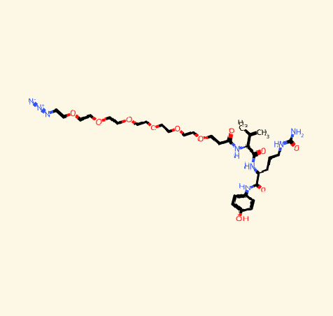 CC(C)[C@H](NC(=O)CCOCCOCCOCCOCCOCCOCCN=[N+]=[N-])C(=O)N[C@@H](CCCNC(N)=O)C(=O)Nc1ccc(O)cc1